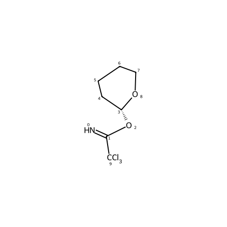 N=C(O[C@@H]1CCCCO1)C(Cl)(Cl)Cl